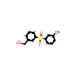 N#Cc1cccc(S(=O)(=O)c2cccc(CO)c2)c1